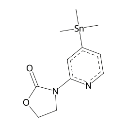 [CH3][Sn]([CH3])([CH3])[c]1ccnc(N2CCOC2=O)c1